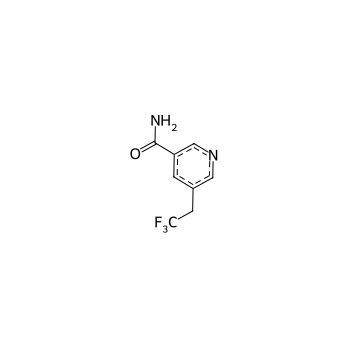 NC(=O)c1cncc(CC(F)(F)F)c1